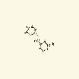 Brc1cncc(NCc2cccnc2)n1